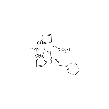 CCOC(=O)CN(C(=O)OCc1ccccc1)C(c1cccs1)(c1cccs1)P(=O)(O)O